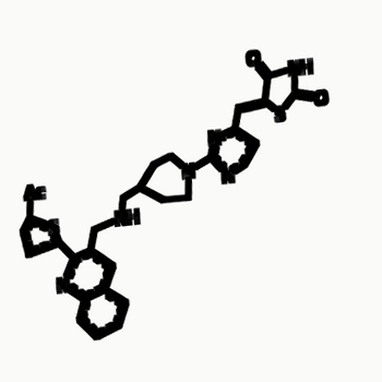 CC(=O)c1ccc(-c2nc3ccccc3cc2CNCC2CCN(c3nccc(/C=C4\SC(=O)NC4=O)n3)CC2)s1